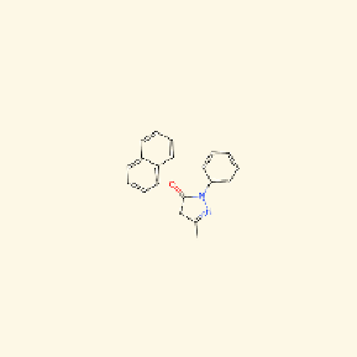 CC1=NN(c2ccccc2)C(=O)C1.c1ccc2ccccc2c1